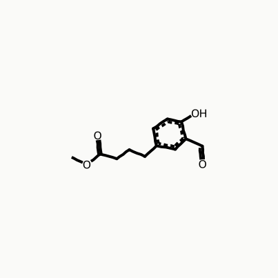 COC(=O)CCCc1ccc(O)c(C=O)c1